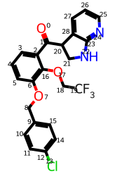 O=C(c1cccc(OCc2ccc(Cl)cc2)c1OCC(F)(F)F)C1CNc2ncccc21